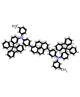 Cc1cccc(N(c2ccc(-c3ccc4ccc5c(-c6ccc(N(c7cccc(C)c7)c7cccc(C8(c9ccccc9)c9ccccc9-c9ccccc98)c7)cc6)ccc6ccc3c4c65)cc2)c2cccc(C3(c4ccccc4)c4ccccc4-c4ccccc43)c2)c1